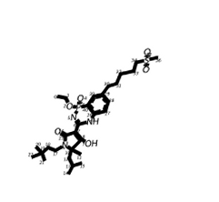 CCOP1(=O)N=C(C2=C(O)C(C)(CC(C)C)N(CCC(C)(C)C)C2=O)Nc2ccc(CCCCCS(C)(=O)=O)cc21